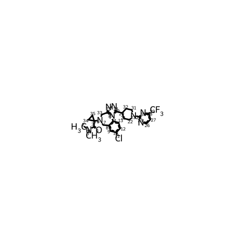 CN(C)C(=O)C1(N2Cc3cc(Cl)ccc3-n3c(nnc3C3CCN(c4nccc(C(F)(F)F)n4)CC3)C2)CC1